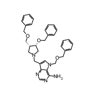 Nc1ncnc2c(CN3C[C@H](COCc4ccccc4)[C@H](OCc4ccccc4)C3)cn(COCc3ccccc3)c12